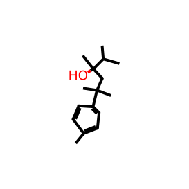 Cc1ccc(C(C)(C)CC(C)(O)C(C)C)cc1